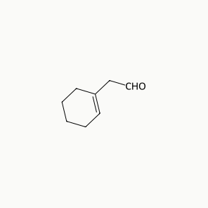 O=CCC1=CCCCC1